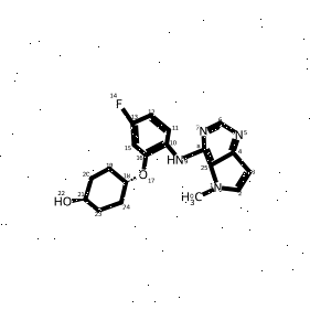 Cn1ccc2ncnc(Nc3ccc(F)cc3O[C@H]3CC[C@H](O)CC3)c21